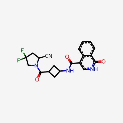 N#CC1CC(F)(F)CN1C(=O)C1CC(NC(=O)c2c[nH]c(=O)c3ccccc23)C1